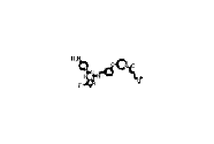 CC(C)c1cnn2c(NCc3cccc(OC4CCCN(C(=O)/C=C/CN(C)C)CC4)c3)nc(N3CCC(N)CC3)nc12